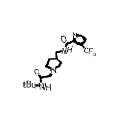 CC(C)(C)NC(=O)CN1CCC(CNC(=O)c2cc(C(F)(F)F)ccn2)CC1